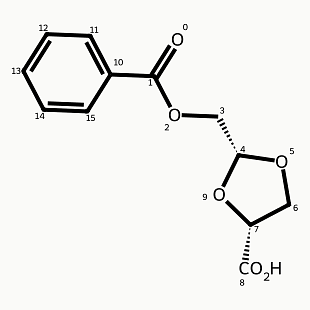 O=C(OC[C@@H]1OC[C@H](C(=O)O)O1)c1ccccc1